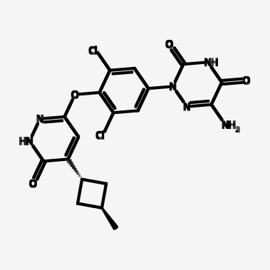 C[C@H]1C[C@H](c2cc(Oc3c(Cl)cc(-n4nc(N)c(=O)[nH]c4=O)cc3Cl)n[nH]c2=O)C1